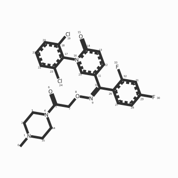 CN1CCN(C(=O)CO/N=C(\c2ccc(=O)n(-c3c(Cl)cccc3Cl)c2)c2ccc(F)cc2F)CC1